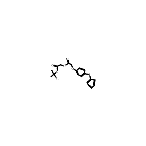 CCC(C)(C)OC(=O)COC(=O)COc1ccc(Sc2ccccc2)cc1